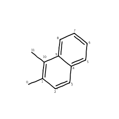 Cc1[c][c]c2ccccc2c1C